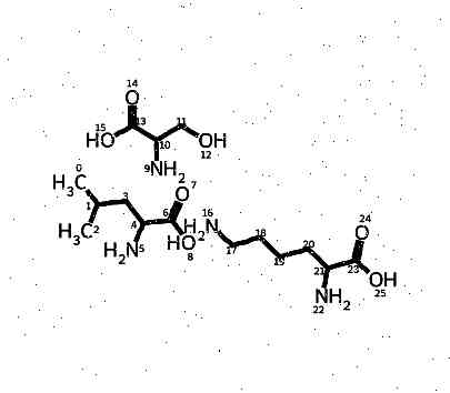 CC(C)CC(N)C(=O)O.NC(CO)C(=O)O.NCCCCC(N)C(=O)O